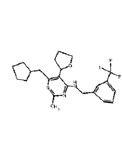 Cc1nc(CC2CCCC2)c(C2CCCO2)c(NCc2cccc(C(F)(F)F)c2)n1